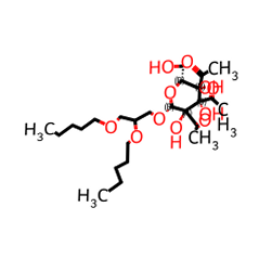 CCCCCOCC(CO[C@@H]1O[C@H](CO)[C@](O)(C(C)=O)[C@@](O)(C(C)=O)[C@]1(O)C(C)=O)OCCCCC